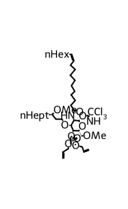 C=CCOP(=O)(OCC=C)O[C@H]1[C@H](OCC[C@@H](CCCCCCC)OC)[C@@H](NC(=O)CCCCCCCCC/C=C\CCCCCC)[C@H](OC(=N)C(Cl)(Cl)Cl)O[C@@H]1COC